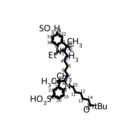 CC[N+]1=C(/C=C/CC/C=C2/N(CCCCCC(=O)C(C)(C)C)c3ccc(S(=O)(=O)O)cc3C2(C)C)C(C)(C)c2cc(S(=O)(=O)O)ccc21